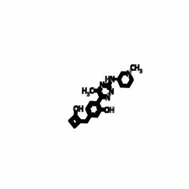 Cc1nc(N[C@@H]2CCCN(C)C2)nnc1-c1ccc(CC2=C(O)CC2)cc1O